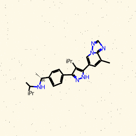 Cc1cc(-c2[nH]nc(-c3ccc([C@@H](C)NC(C)C(C)C)cc3)c2C(C)C)cn2ncnc12